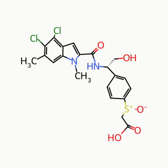 Cc1cc2c(cc(C(=O)N[C@H](CO)c3ccc([S@+]([O-])CC(=O)O)cc3)n2C)c(Cl)c1Cl